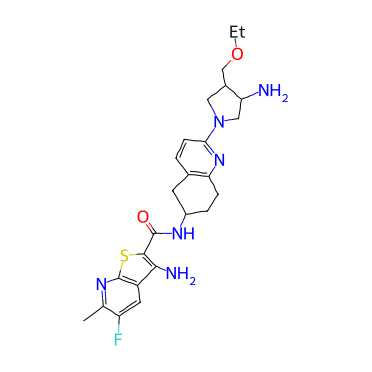 CCOCC1CN(c2ccc3c(n2)CCC(NC(=O)c2sc4nc(C)c(F)cc4c2N)C3)CC1N